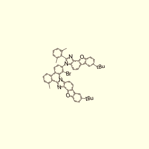 Cc1cccc(C)c1-c1nc2c3oc4ccc(C(C)(C)C)cc4c3ccc2n1-c1ccc2c3cccc(C)c3c3nc4c5oc6ccc(C(C)(C)C)cc6c5ccc4n3c2c1Br